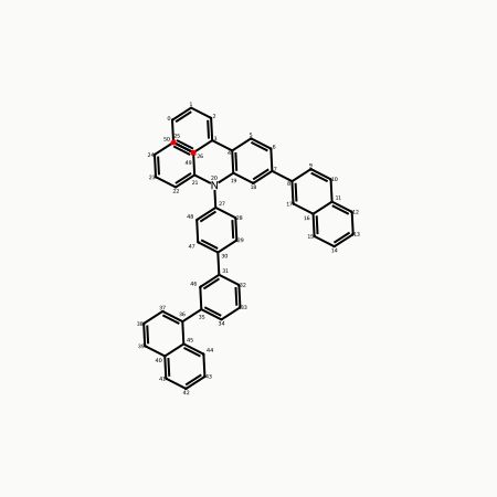 c1ccc(-c2ccc(-c3ccc4ccccc4c3)cc2N(c2ccccc2)c2ccc(-c3cccc(-c4cccc5ccccc45)c3)cc2)cc1